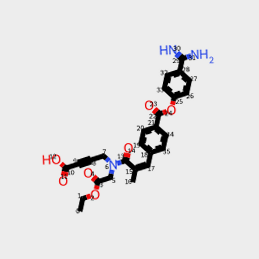 CCOC(=O)CN(CC#CC(=O)O)C(=O)C(C)=Cc1ccc(C(=O)Oc2ccc(C(=N)N)cc2)cc1